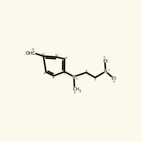 CCN(CC)CCN(C)c1ccc(C=O)cc1